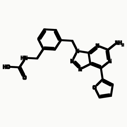 Nc1nc(-c2ccco2)c2nnn(Cc3cccc(CNC(=O)O)c3)c2n1